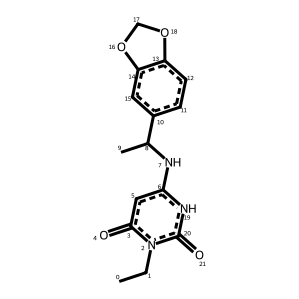 CCn1c(=O)cc(NC(C)c2ccc3c(c2)OCO3)[nH]c1=O